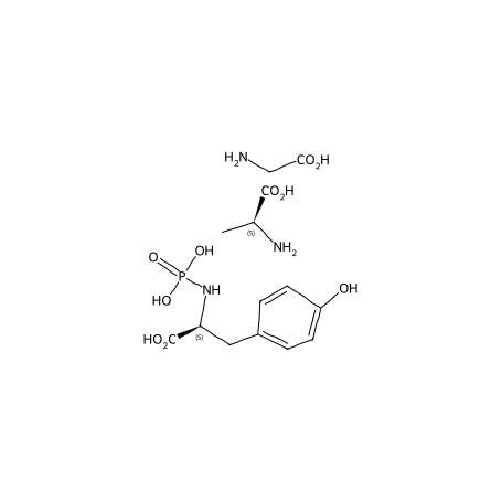 C[C@H](N)C(=O)O.NCC(=O)O.O=C(O)[C@H](Cc1ccc(O)cc1)NP(=O)(O)O